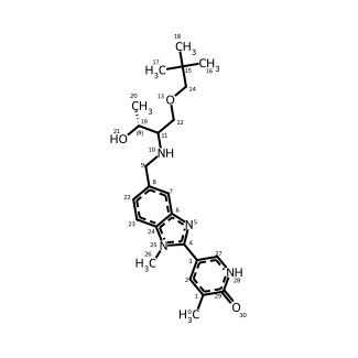 Cc1cc(-c2nc3cc(CNC(COCC(C)(C)C)[C@@H](C)O)ccc3n2C)c[nH]c1=O